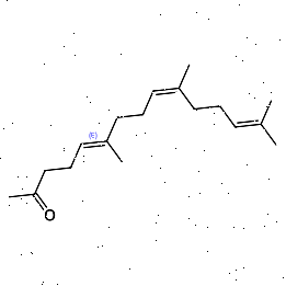 CC(=O)CC/C=C(\C)CCC=C(C)CCC=C(C)C